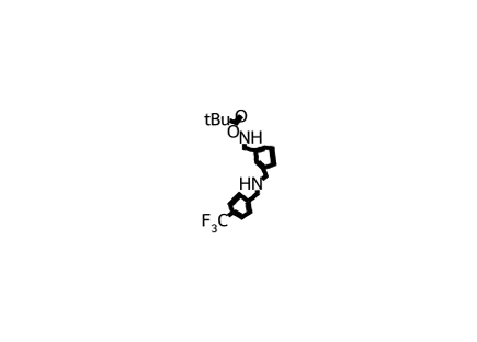 CC(C)(C)C(=O)ONCc1cccc(CNCc2ccc(C(F)(F)F)cc2)c1